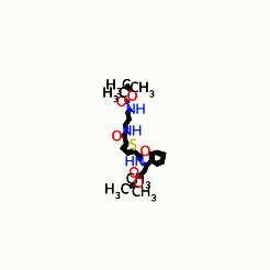 CC(C)(C)OC(=O)CC(NC(=O)c1ccc(C(=O)NCCCNC(=O)OC(C)(C)C)s1)c1ccccc1